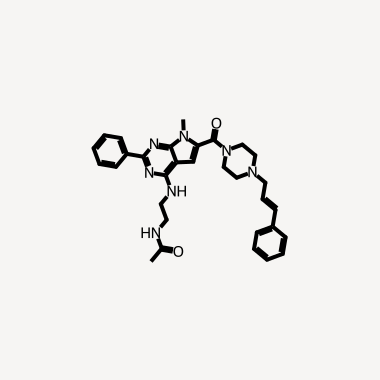 CC(=O)NCCNc1nc(-c2ccccc2)nc2c1cc(C(=O)N1CCN(CC=Cc3ccccc3)CC1)n2C